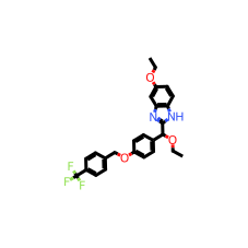 CCOc1ccc2[nH]c(C(OCC)c3ccc(OCc4ccc(C(F)(F)F)cc4)cc3)nc2c1